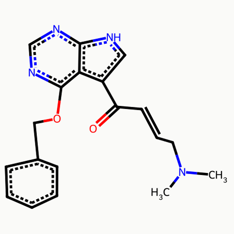 CN(C)CC=CC(=O)c1c[nH]c2ncnc(OCc3ccccc3)c12